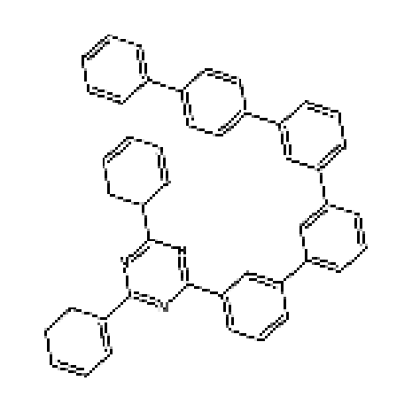 C1=CCCC(c2nc(-c3cccc(-c4cccc(-c5cccc(-c6ccc(-c7ccccc7)cc6)c5)c4)c3)nc(C3C=CC=CC3)n2)=C1